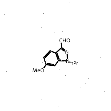 CCCn1nc(C=O)c2ccc(OC)cc21